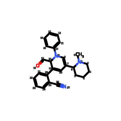 CN1CCCCC1C1=CN(c2ccccc2)C(C=O)C(c2ccccc2C#N)=C1